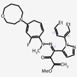 C=C(OC)C(=O)/C(=N\N(C)C1=C(F)C=C(N2CCCCOCC2)CC=C1)c1ccnn1C(/C=C\CC)=C/CC